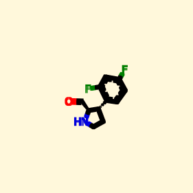 O=C[C@@H]1NCC[C@H]1c1ccc(F)cc1F